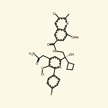 CCOc1c(CC(N)=O)cc([C@@](O)(CNC(=O)c2cc(OC)c3nc(C)c(Cl)cc3c2)C2CCC2)nc1-c1ccc(F)cc1